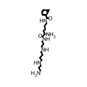 NCCCNCCCCNCCCNC(=O)[C@H](N)CCCCNC(=O)C1=CC=CC2CC12